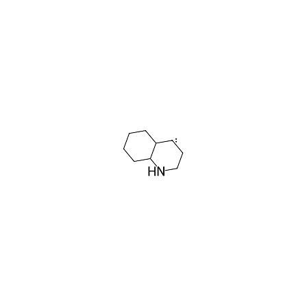 [C]1CCNC2CCCCC12